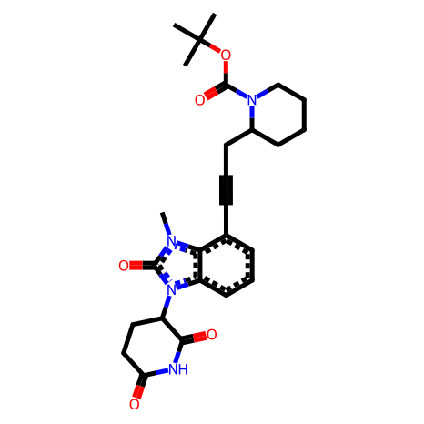 Cn1c(=O)n(C2CCC(=O)NC2=O)c2cccc(C#CCC3CCCCN3C(=O)OC(C)(C)C)c21